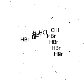 Br.Br.Br.Br.Br.Br.Br.Cl.Cl